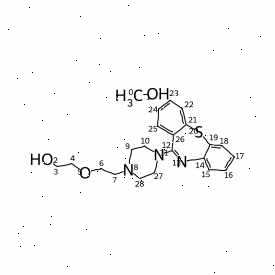 CO.OCCOCCN1CCN(C2=Nc3ccccc3Sc3ccccc32)CC1